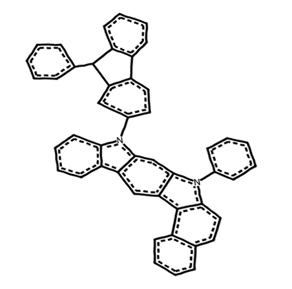 c1ccc(C2c3ccccc3-c3ccc(-n4c5ccccc5c5cc6c7c8ccccc8ccc7n(-c7ccccc7)c6cc54)cc32)cc1